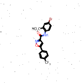 O=C(Nc1ccc(Br)cc1C(=O)O)c1cc(-c2ccc(C(F)(F)F)cc2)on1